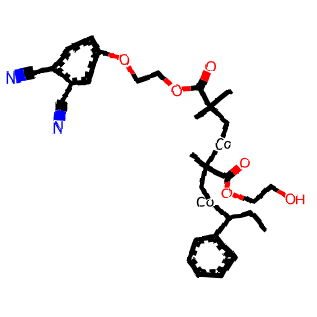 CC[CH]([Co][CH2][C](C)([Co][CH2]C(C)(C)C(=O)OCCOc1ccc(C#N)c(C#N)c1)C(=O)OCCO)c1ccccc1